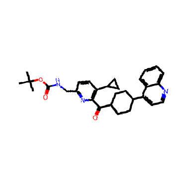 CC(C)(C)OC(=O)NCc1ccc(C2CC2)c(C(=O)C2CCC(c3ccnc4ccccc34)CC2)n1